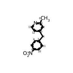 Cc1cc(Cc2ccc([N+](=O)[O-])cc2)ccn1